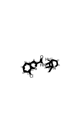 CC1(C)[C@H](NC(=O)c2cc3cccc(Cl)c3s2)C2CCN1CC2